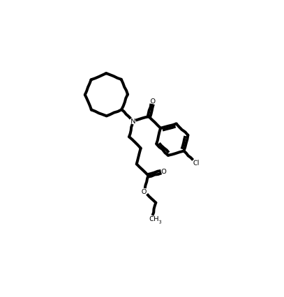 CCOC(=O)CCCN(C(=O)c1ccc(Cl)cc1)C1CCCCCCC1